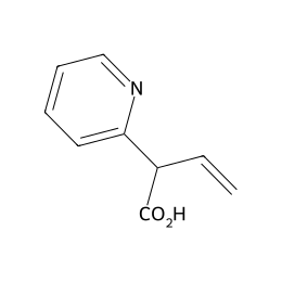 C=CC(C(=O)O)c1ccccn1